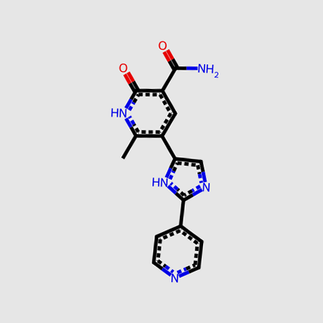 Cc1[nH]c(=O)c(C(N)=O)cc1-c1cnc(-c2ccncc2)[nH]1